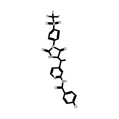 CC(c1ccnc(NC(=O)c2ccc(Cl)cc2)c1)C1NC(=O)N(c2ccc(S(=O)(=O)C(F)(F)F)cc2)C1=O